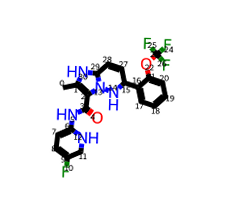 CC1=C(C(=O)NC2=CC=C(F)CN2)N2NC(c3ccccc3OC(F)(F)F)C=CC2N1